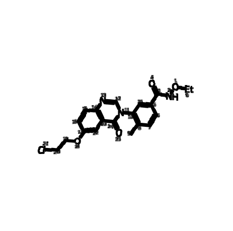 CCONC(=O)c1ccc(C)c(-n2cnc3ccc(OCCCl)cc3c2=O)c1